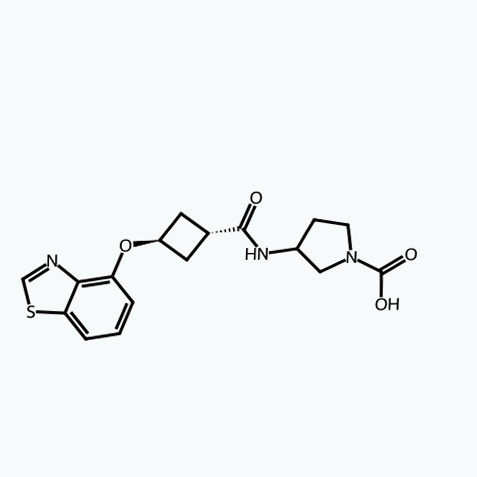 O=C(O)N1CCC(NC(=O)[C@H]2C[C@H](Oc3cccc4scnc34)C2)C1